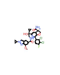 COc1cc(C(=O)NC[C@](O)(c2cc3c(c(-c4ccc(F)c(Cl)c4Cl)n2)OC[C@]3(C)C(N)=O)C2CC2)cc2cn(C3CC3)nc12